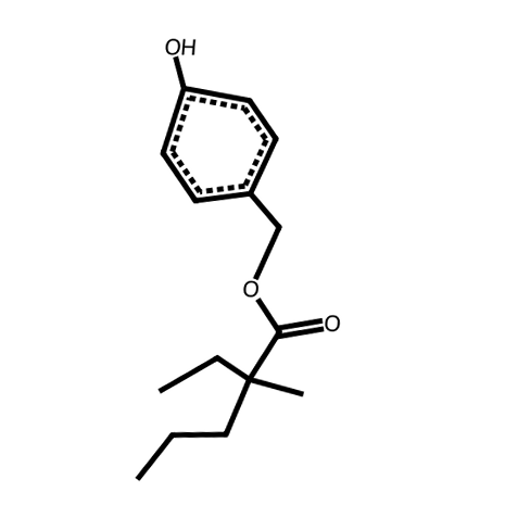 CCCC(C)(CC)C(=O)OCc1ccc(O)cc1